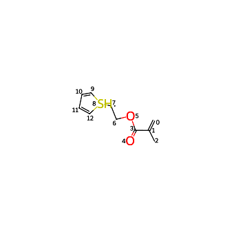 C=C(C)C(=O)OC[CH][SH]1C=CC=C1